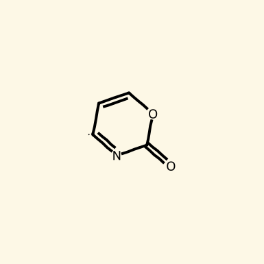 O=c1n[c]cco1